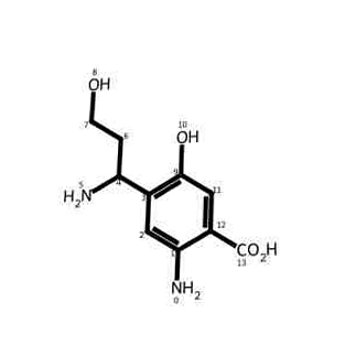 Nc1cc(C(N)CCO)c(O)cc1C(=O)O